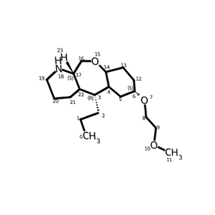 CCC[C@H]1C2C[C@@H](OCCOC)CCC2OC[C@H]2NCCCC12